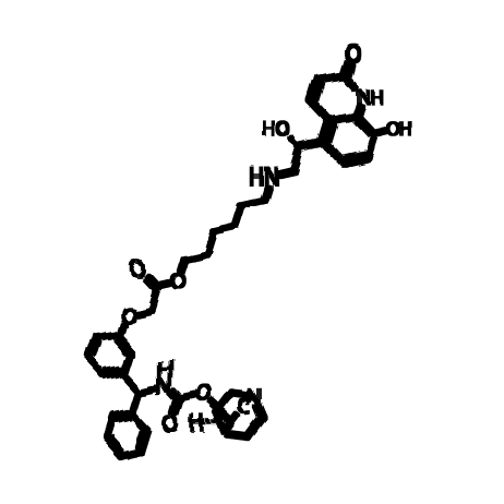 O=C(COc1cccc(C(NC(=O)O[C@H]2CN3CCC2CC3)c2ccccc2)c1)OCCCCCCNC[C@@H](O)c1ccc(O)c2[nH]c(=O)ccc12